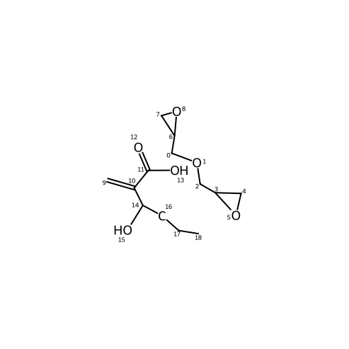 C(OCC1CO1)C1CO1.C=C(C(=O)O)C(O)CCC